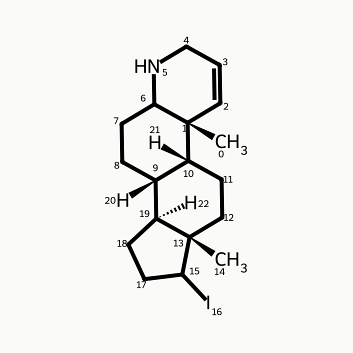 C[C@]12C=CCNC1CC[C@@H]1[C@H]2CC[C@]2(C)C(I)CC[C@@H]12